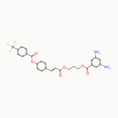 Nc1cc(N)cc(C(=O)OCCCOC(=O)C=Cc2ccc(OC(=O)c3ccc(C(F)(F)F)cc3)cc2)c1